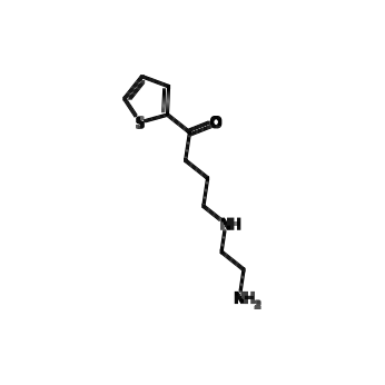 NCCNCCCC(=O)c1cccs1